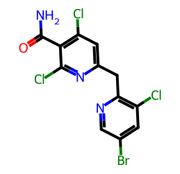 NC(=O)c1c(Cl)cc(Cc2ncc(Br)cc2Cl)nc1Cl